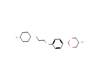 CCCCC[C@H]1CC[C@H](CCCOc2ccc([C@H]3OC[C@H](CCCC)CO3)cc2)CC1